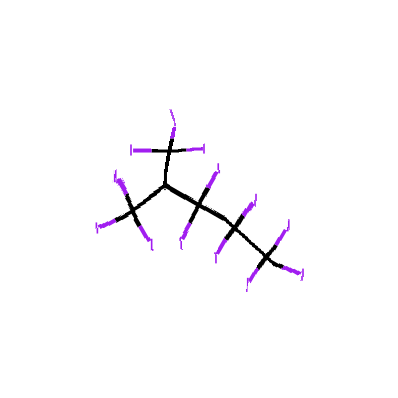 IC(I)(I)[C](C(I)(I)I)C(I)(I)C(I)(I)C(I)(I)I